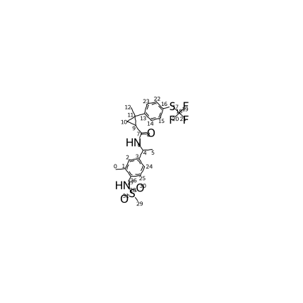 Cc1cc(C(C)NC(=O)C2CC2(C)c2ccc(SC(F)(F)F)cc2)ccc1NS(C)(=O)=O